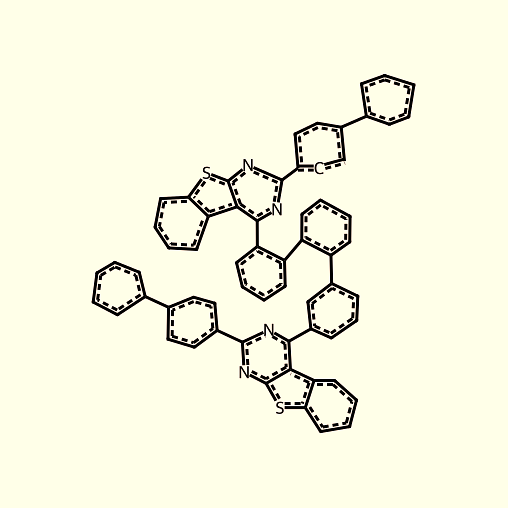 c1ccc(-c2ccc(-c3nc(-c4cccc(-c5ccccc5-c5ccccc5-c5nc(-c6ccc(-c7ccccc7)cc6)nc6sc7ccccc7c56)c4)c4c(n3)sc3ccccc34)cc2)cc1